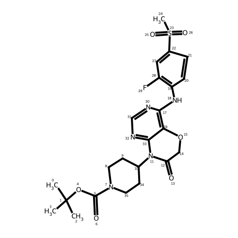 CC(C)(C)OC(=O)N1CCC(N2C(=O)COc3c(Nc4ccc(S(C)(=O)=O)cc4F)ncnc32)CC1